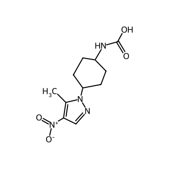 Cc1c([N+](=O)[O-])cnn1C1CCC(NC(=O)O)CC1